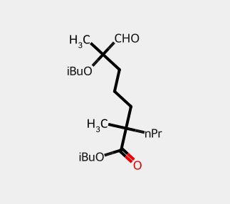 [CH2]CCC(C)(CCCC(C)(C=O)OCC(C)C)C(=O)OCC(C)C